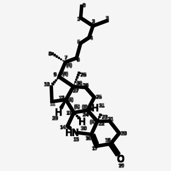 CCC(C)CCC[C@@H](C)[C@H]1CC[C@H]2[C@@H]3CNC4=CC(=O)CC[C@]4(C)[C@H]3CC[C@]12C